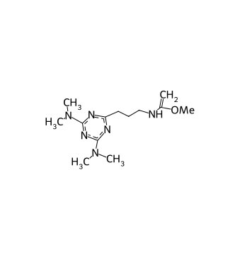 C=C(NCCCc1nc(N(C)C)nc(N(C)C)n1)OC